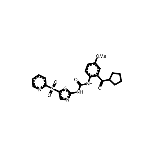 COc1ccc(NC(=O)Nc2ncc(S(=O)(=O)c3ccccn3)s2)c(C(=O)C2CCCC2)c1